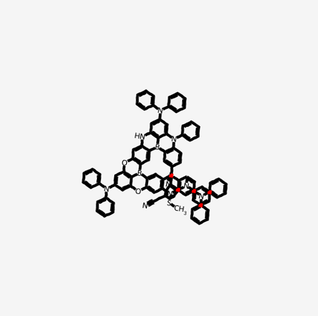 CSN1c2cc3c(cc2B2c4cc(C#N)ccc4N(c4ccccc4)c4cc(N(c5ccccc5)c5ccccc5)cc1c42)B1c2cc4c(cc2Oc2cc(N(c5ccccc5)c5ccccc5)cc(c21)O3)Nc1cc(N(c2ccccc2)c2ccccc2)cc2c1B4c1cc(C#N)ccc1N2c1ccccc1